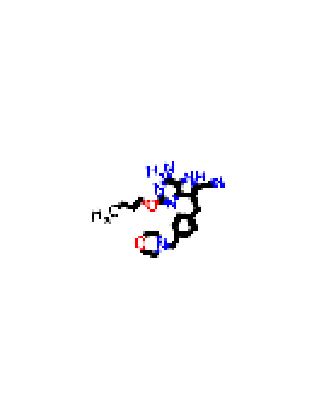 CCCCOc1nc(N)c2[nH]c(C#N)c(Cc3ccc(CN4CCOCC4)cc3)c2n1